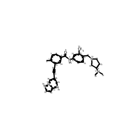 Cc1ccc(C(=O)Nc2ccc(CN3CCC(N(C)C)C3)c(C(F)(F)F)c2)cc1C#Cc1cnc2ccnn2c1